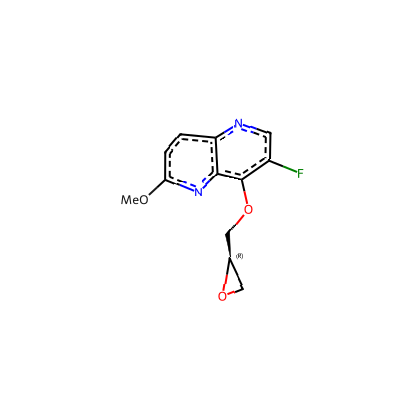 COc1ccc2ncc(F)c(OC[C@H]3CO3)c2n1